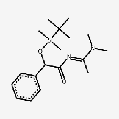 C/C(=N\C(=O)C(O[Si](C)(C)C(C)(C)C)c1ccccc1)N(C)C